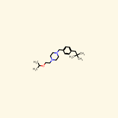 CC(C)OCCN1CCN(Cc2ccc(CC(C)(C)C)cc2)CC1